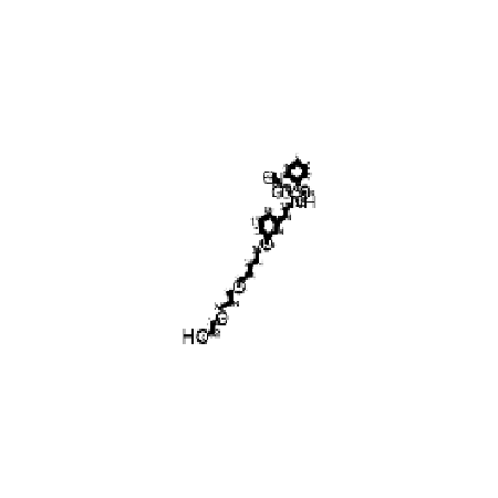 O=[N+]([O-])c1ccccc1S(=O)(=O)NCCc1cccc(OCCCCCOCCCOCCO)c1